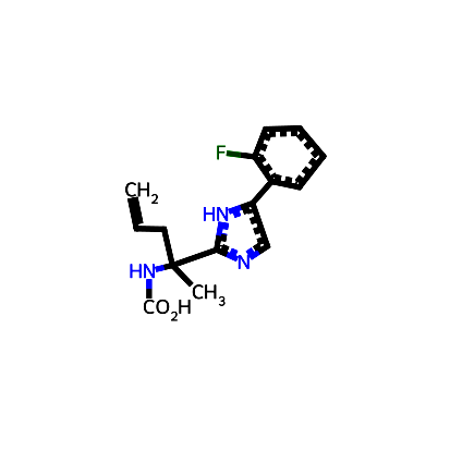 C=CCC(C)(NC(=O)O)c1ncc(-c2ccccc2F)[nH]1